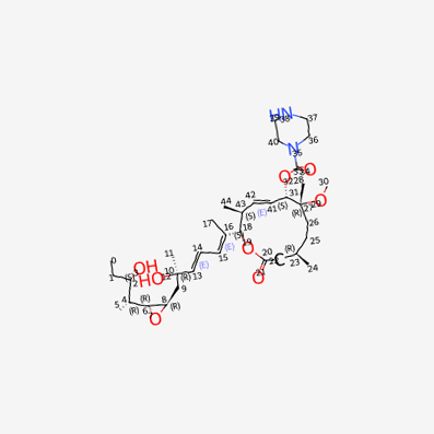 CC[C@H](O)[C@@H](C)[C@H]1O[C@@H]1C[C@@](C)(O)/C=C/C=C(\C)[C@H]1OC(=O)C[C@H](C)CC[C@@](C)(OC)[C@@H](OC(=O)N2CCNCC2)/C=C/[C@@H]1C